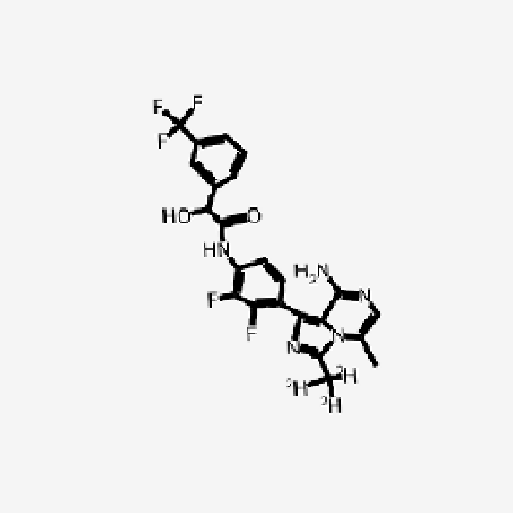 [2H]C([2H])([2H])c1nc(-c2ccc(NC(=O)C(O)c3cccc(C(F)(F)F)c3)c(F)c2F)c2c(N)ncc(C)n12